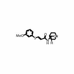 COc1cccc(S/C=C/C(=O)N[C@H]2CN3CCC2CC3)c1